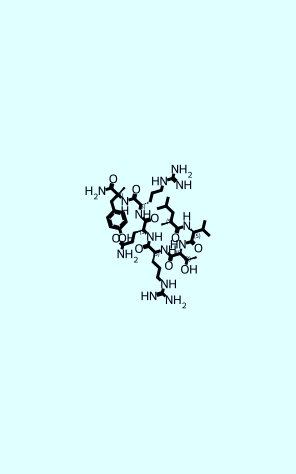 CC(C)C[C@H](C)C(=O)N[C@H](C(=O)N[C@H](C(=O)N[C@@H](CCCNC(=N)N)C(=O)N[C@@H](CCC(N)=O)C(=O)N[C@@H](CCCNC(=N)N)C(=O)N[C@](C)(Cc1ccc(O)cc1)C(N)=O)[C@@H](C)O)C(C)C